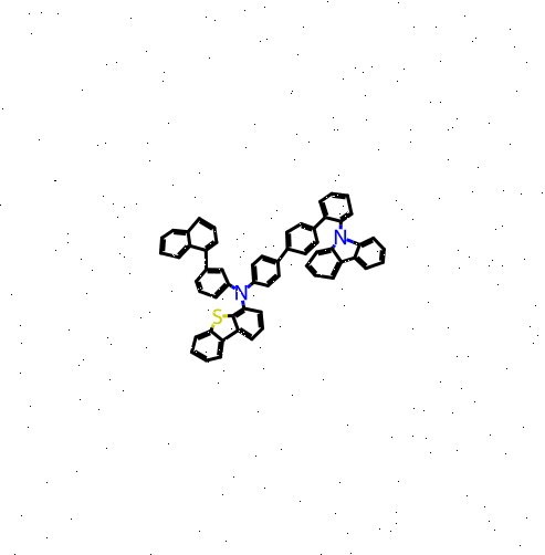 c1cc(-c2cccc3ccccc23)cc(N(c2ccc(-c3ccc(-c4ccccc4-n4c5ccccc5c5ccccc54)cc3)cc2)c2cccc3c2sc2ccccc23)c1